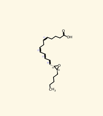 CCCCC[C@@H]1O[C@H]1/C=C/C=C/C=C\C/C=C\CCCC(=O)O